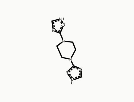 c1nc(N2CCN(c3nc[nH]n3)CC2)n[nH]1